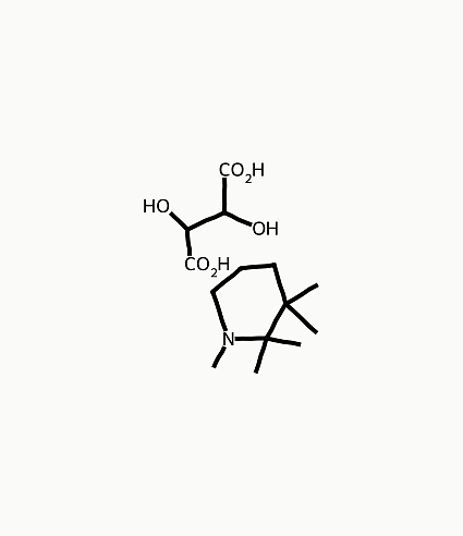 CN1CCCC(C)(C)C1(C)C.O=C(O)C(O)C(O)C(=O)O